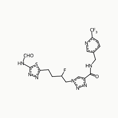 O=CNc1nnc(CCC(F)Cn2cc(C(=O)NCc3ccc(C(F)(F)F)nc3)nn2)s1